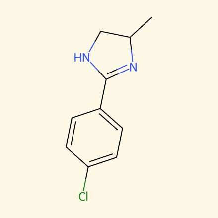 CC1CNC(c2ccc(Cl)cc2)=N1